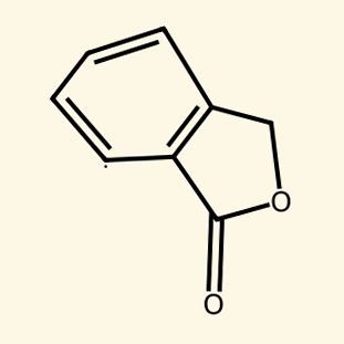 O=C1OCc2ccc[c]c21